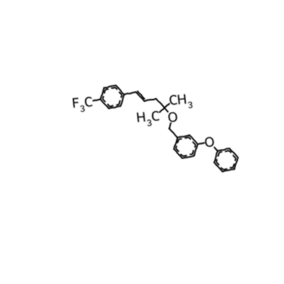 CC(C)(CC=Cc1ccc(C(F)(F)F)cc1)OCc1cccc(Oc2ccccc2)c1